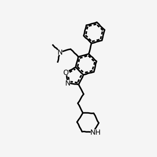 CN(C)Cc1c(-c2ccccc2)ccc2c(CCC3CCNCC3)noc12